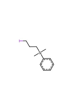 C[Si](C)(CCCI)c1ccccc1